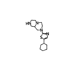 c1nc(N2CCN3CCNCC3C2)sc1C1CCCCC1